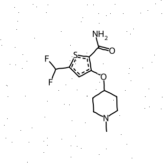 CN1CCC(Oc2cc(C(F)F)sc2C(N)=O)CC1